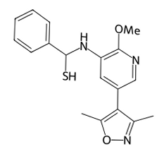 COc1ncc(-c2c(C)noc2C)cc1NC(S)c1ccccc1